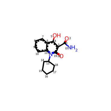 NC(=O)c1c(O)c2ccccc2n(C2CCCCC2)c1=O